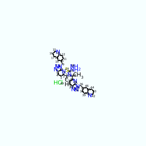 CC(c1ccc2nnn(Cc3ccc4ncccc4c3)c2n1)N(C(=S)NN)C(C)c1ccc2nnn(Cc3ccc4ncccc4c3)c2n1.Cl